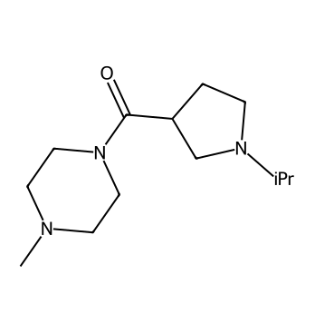 CC(C)N1CCC(C(=O)N2CCN(C)CC2)C1